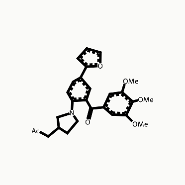 COc1cc(C(=O)c2cc(-c3ccco3)ccc2N2CCC(CC(C)=O)C2)cc(OC)c1OC